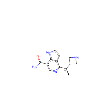 C[C@@H](c1ncc(C(N)=O)c2[nH]ccc12)C1CNC1